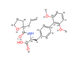 C=CCC1(C(=O)N[C@@H](Cc2ccc(-c3c(OC)cccc3OC)cc2)C(=O)O)CCCO1